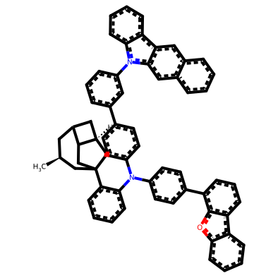 C[C@H]1CC2C[C@H]3CC(c4ccccc4N(c4ccc(-c5cccc(-n6c7ccccc7c7cc8ccccc8cc76)c5)cc4)c4ccc(-c5cccc6c5oc5ccccc56)cc4)(CC23)C1